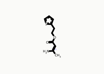 C/C(N)=C/C(=O)OCCc1cccs1